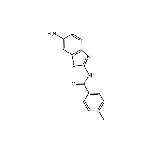 Cc1ccc(C(=O)Nc2nc3ccc(N)cc3s2)cc1